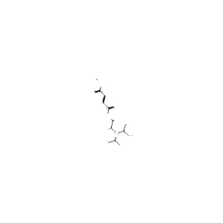 COC(=O)/C=C/C(=O)OCCN(C(C)C)C(C)C